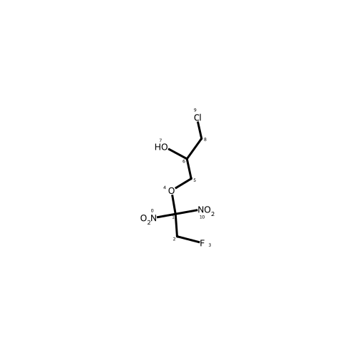 O=[N+]([O-])C(CF)(OCC(O)CCl)[N+](=O)[O-]